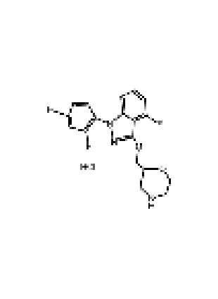 Cl.Fc1ccc(-n2nc(OCC3CNCCO3)c3c(F)cccc32)c(F)c1